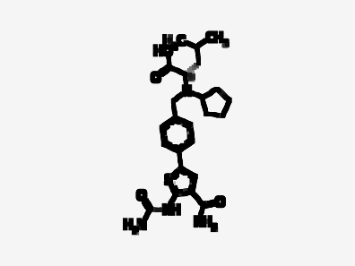 CC(C)C[C@@H](C(=O)O)N(Cc1ccc(-c2cc(C(N)=O)c(NC(N)=O)s2)cc1)C1CCCC1